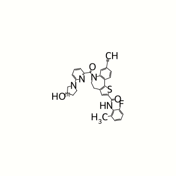 C#Cc1ccc2c(c1)N(C(=O)c1cccc(N3CC[C@H](O)C3)n1)CCc1cc(C(=O)Nc3c(C)cccc3F)sc1-2